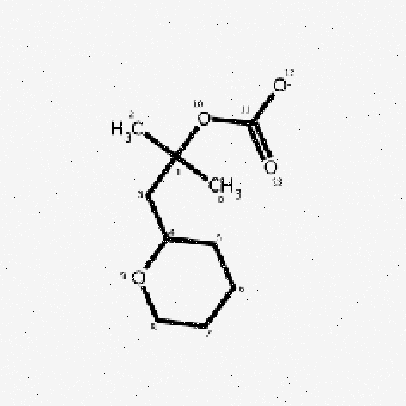 CC(C)(CC1CCCCO1)OC([O])=O